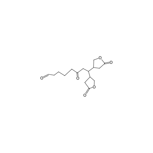 O=CCCCCC(=O)CC(C1COC(=O)C1)C1COC(=O)C1